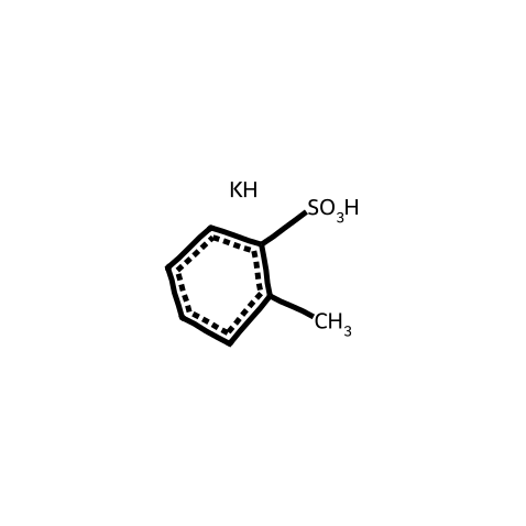 Cc1ccccc1S(=O)(=O)O.[KH]